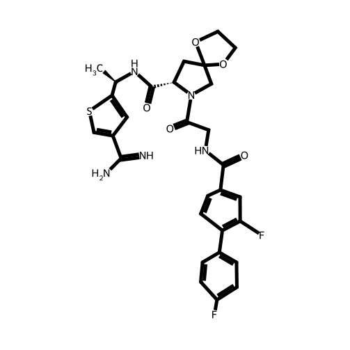 C[C@@H](NC(=O)[C@@H]1CC2(CN1C(=O)CNC(=O)c1ccc(-c3ccc(F)cc3)c(F)c1)OCCO2)c1cc(C(=N)N)cs1